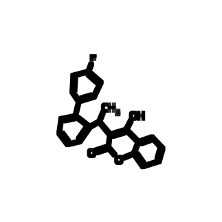 CC(c1ccccc1-c1ccc(F)cc1)c1c(O)c2ccccc2oc1=O